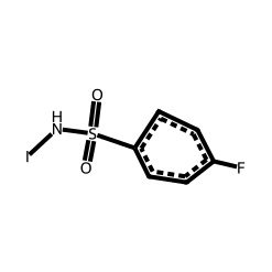 O=S(=O)(NI)c1ccc(F)cc1